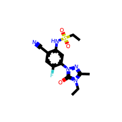 CCn1c(C)nn(-c2cc(NS(=O)(=O)CC)c(C#N)cc2F)c1=O